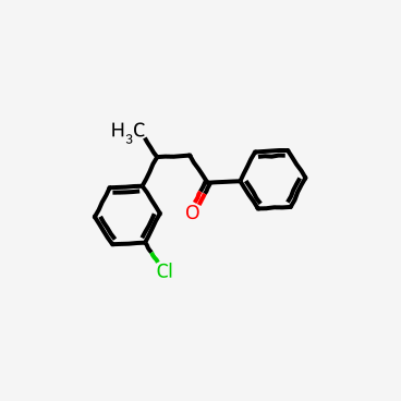 CC(CC(=O)c1ccccc1)c1cccc(Cl)c1